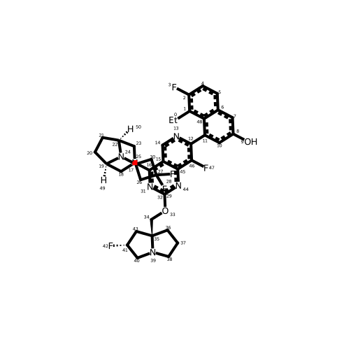 CCc1c(F)ccc2cc(O)cc(-c3ncc4c(N5C[C@H]6CC[C@@H](C5)N6C5CC(F)(F)C5)nc(OC[C@@]56CCCN5C[C@H](F)C6)nc4c3F)c12